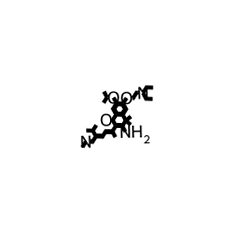 CCN(CC)CCOc1cc2c(cc1OC(C)C)C(=O)C(/C(C)=C/C=C(/C=N/C)C(C)C)=C(N)C2(C)C